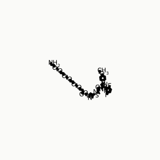 CCOC1CCC(n2cc(NC(=O)c3csc(-c4cnn(COC(=O)CCOCCOCCOCCOCCOCCOCCN)c4)n3)c(-c3nc(F)ccc3F)n2)CC1